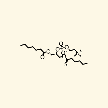 CCCCCCC(=O)OC[C@H](COC(=S)CCCCC)OP(=O)([O-])OCC[N+](C)(C)C